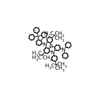 CC(C)(C)c1ccc(N2c3cc(N(c4ccccc4)c4ccccc4)ccc3B3c4cc(C(C)(C)C)ccc4N(c4cccc5c4-c4ccccc4C5(c4ccccc4)c4ccccc4)c4cc(C(C)(C)C)cc2c43)cc1